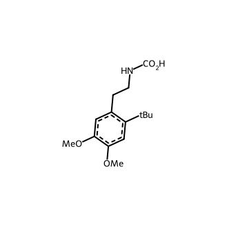 COc1cc(CCNC(=O)O)c(C(C)(C)C)cc1OC